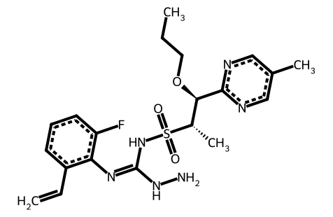 C=Cc1cccc(F)c1/N=C(/NN)NS(=O)(=O)[C@@H](C)[C@@H](OCCC)c1ncc(C)cn1